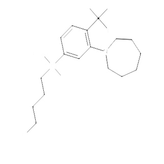 CCCCC[Si](C)(C)c1ccc(C(F)(F)F)c(N2CCCCCC2)c1